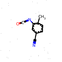 Cc1ccc(C#N)cc1N=C=O